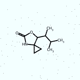 CC(C)C(C)C1OC(=O)NC12CC2